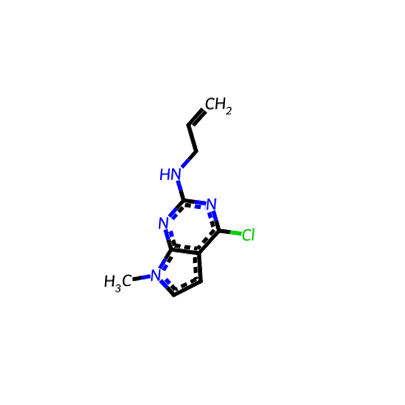 C=CCNc1nc(Cl)c2ccn(C)c2n1